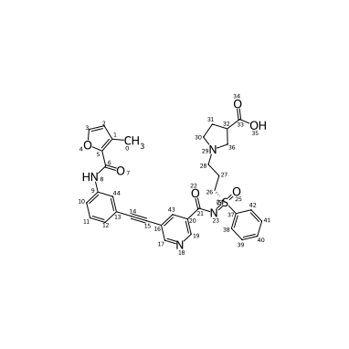 Cc1ccoc1C(=O)Nc1cccc(C#Cc2cncc(C(=O)N=[S@](=O)(CCCN3CCC(C(=O)O)C3)c3ccccc3)c2)c1